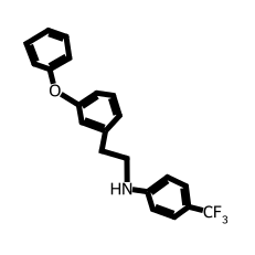 FC(F)(F)c1ccc(NCCc2cccc(Oc3ccccc3)c2)cc1